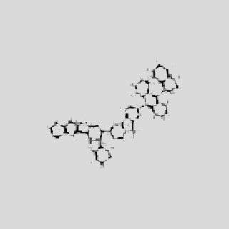 CC1(C)c2ccc(-c3cc4sc5cc6ccccc6cc5c4c4sc5ccccc5c34)cc2-c2ccc(-c3c4ccccc4c(-c4cccc5ccccc45)c4ccccc34)cc21